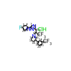 Cl.Fc1ccc(-c2cnc(CC(CN3CCCC(c4cccc(C(F)(F)F)c4)C3)C(F)(F)F)[nH]2)cc1